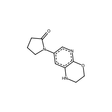 O=C1CCCN1c1cnc2c(c1)NCCO2